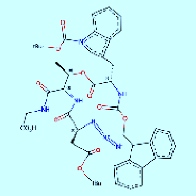 C[C@@H](OC(=O)[C@H](Cc1cn(C(=O)OC(C)(C)C)c2ccccc12)NC(=O)OCC1c2ccccc2-c2ccccc21)[C@H](NC(=O)[C@H](CC(=O)OC(C)(C)C)N=[N+]=[N-])C(=O)NCC(=O)O